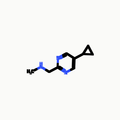 CNCc1ncc(C2CC2)cn1